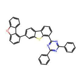 c1ccc(-c2nc(-c3ccccc3)nc(-c3cccc4c3sc3cc(-c5cccc6oc7ccccc7c56)ccc34)n2)cc1